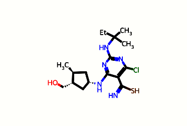 CCC(C)(C)Nc1nc(Cl)c(C(=N)S)c(N[C@@H]2C[C@H](CO)[C@@H](C)C2)n1